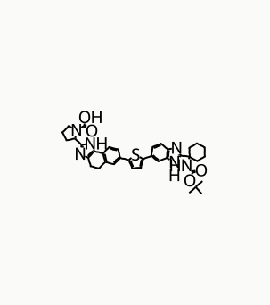 CC(C)(C)OC(=O)NC1(c2nc3ccc(-c4ccc(-c5ccc6c(c5)CCc5nc(C7CCCN7C(=O)O)[nH]c5-6)s4)cc3[nH]2)CCCCC1